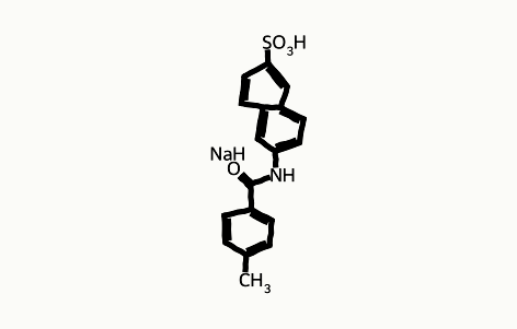 Cc1ccc(C(=O)Nc2ccc3cc(S(=O)(=O)O)ccc3c2)cc1.[NaH]